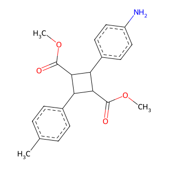 COC(=O)C1C(c2ccc(C)cc2)C(C(=O)OC)C1c1ccc(N)cc1